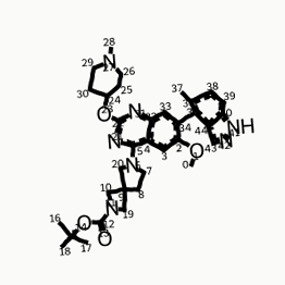 COc1cc2c(N3CCC4(CN(C(=O)OC(C)(C)C)C4)C3)nc(OC3CCN(C)CC3)nc2cc1-c1c(C)ccc2[nH]ncc12